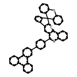 c1ccc2c(c1)Sc1ccccc1C21c2ccccc2-c2cc3c(-c4ccc(-c5ccc6c7ccccc7c7ccccc7c6c5)cc4)nc4ccccc4c3cc21